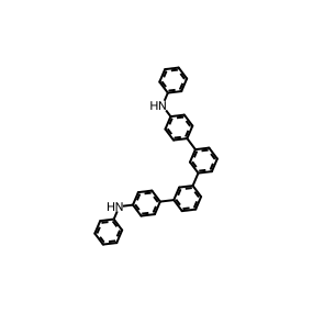 c1ccc(Nc2ccc(-c3cccc(-c4cccc(-c5ccc(Nc6ccccc6)cc5)c4)c3)cc2)cc1